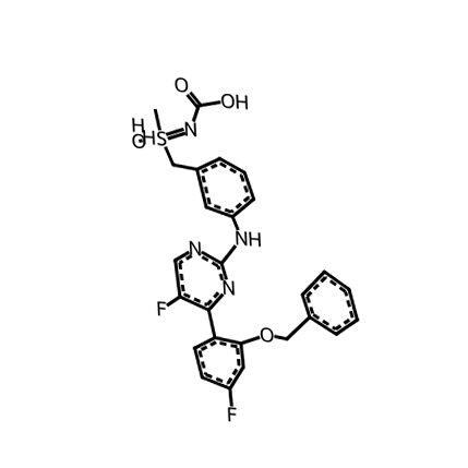 C[SH](O)(Cc1cccc(Nc2ncc(F)c(-c3ccc(F)cc3OCc3ccccc3)n2)c1)=NC(=O)O